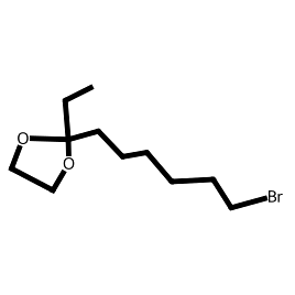 CCC1(CCCCCCBr)OCCO1